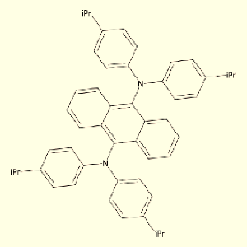 CC(C)c1ccc(N(c2ccc(C(C)C)cc2)c2c3ccccc3c(N(c3ccc(C(C)C)cc3)c3ccc(C(C)C)cc3)c3ccccc23)cc1